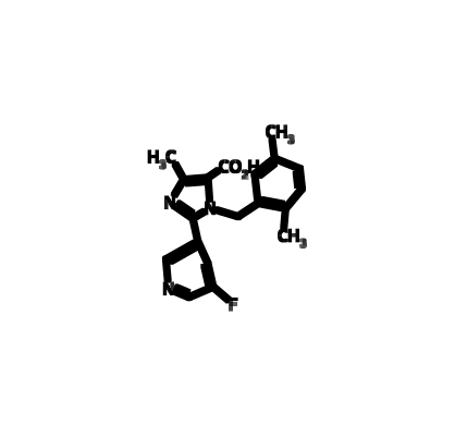 Cc1ccc(C)c(Cn2c(-c3cncc(F)c3)nc(C)c2C(=O)O)c1